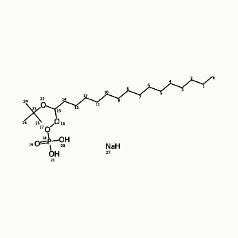 CCCCCCCCCCCCCCCC(OOP(=O)(O)O)OC(C)(C)C.[NaH]